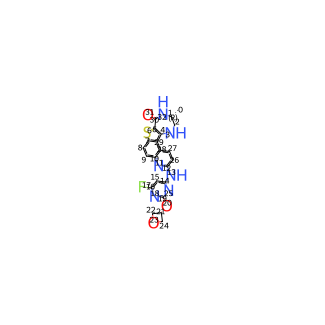 C[C@@H]1CNc2c(sc3ccc4nc(Nc5cc(F)nc(OC6COC6)n5)ccc4c23)C(=O)N1